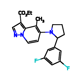 CCOC(=O)c1cnn2ccc(N3CCCC3c3cc(F)cc(F)c3)c(C)c12